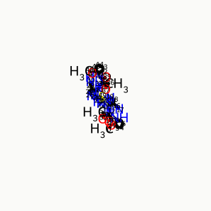 COc1ccccc1NC(=O)C(N=Nc1c(C#N)cnn1-c1nnc(-n2ncc(C#N)c2N=NC(C(C)=O)C(=O)Nc2ccccc2OC)s1)C(C)=O